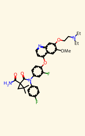 CCN(CC)CCOc1cc2nccc(Oc3ccc(N(C(=O)C4(C(N)=O)CC4(C)C)c4ccc(F)cc4)cc3F)c2cc1OC